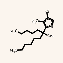 CCCCCCC(C)(CCCCC)c1scc(Cl)c1C